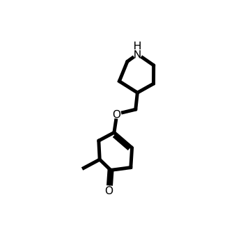 CC1CC(OCC2CCNCC2)=CCC1=O